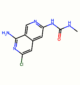 CNC(=O)Nc1cc2cc(Cl)nc(N)c2cn1